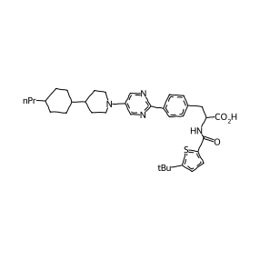 CCCC1CCC(C2CCN(c3cnc(-c4ccc(CC(NC(=O)c5ccc(C(C)(C)C)s5)C(=O)O)cc4)nc3)CC2)CC1